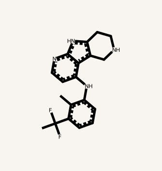 Cc1c(Nc2ccnc3[nH]c4c(c23)CNCC4)cccc1C(C)(F)F